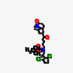 CC(C)(C)OC(=O)N(CCCCC(=O)c1cc2c3c(c1)CCN3C(=O)CC2)CCc1c(Cl)cccc1Cl